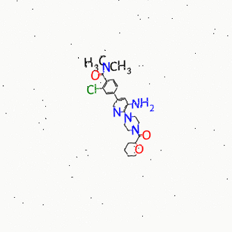 CN(C)C(=O)c1ccc(-c2cnc(N3CCN(C(=O)C4CCCCO4)CC3)c(N)c2)cc1Cl